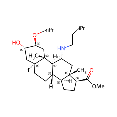 CCCO[C@H]1C[C@@]2(C)[C@@H](CC[C@@H]3[C@@H]2[C@H](NCCC(C)C)C[C@]2(C)[C@@H](C(=O)OC)CC[C@@H]32)C[C@@H]1O